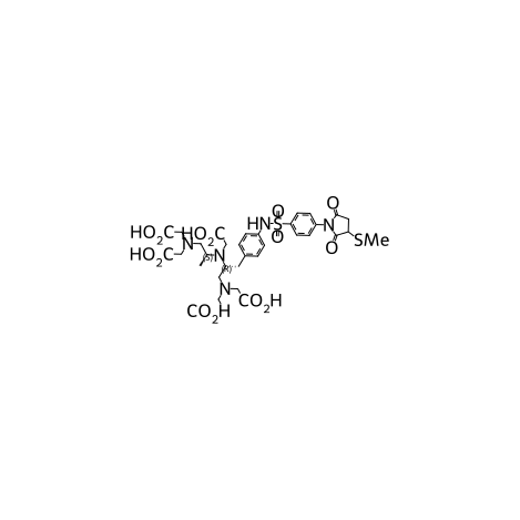 CSC1CC(=O)N(c2ccc(S(=O)(=O)Nc3ccc(C[C@H](CN(CC(=O)O)CC(=O)O)N(CC(=O)O)[C@@H](C)CN(CC(=O)O)CC(=O)O)cc3)cc2)C1=O